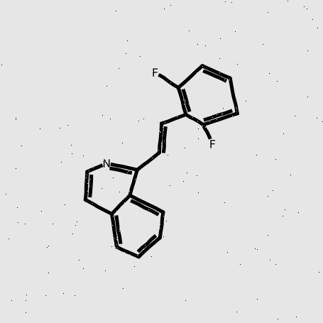 Fc1cccc(F)c1C=Cc1nccc2ccccc12